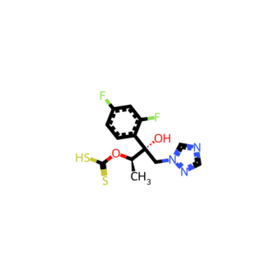 C[C@@H](OC(=S)S)[C@](O)(Cn1cncn1)c1ccc(F)cc1F